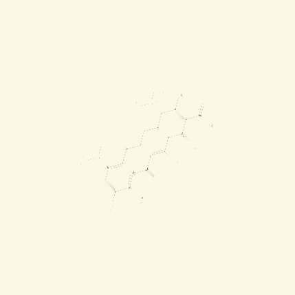 CC(C)c1cc(N(C)C)c2c(c1O)C(=O)C1=C(O)C3C(=O)C(C(N)=O)=C(O)[C@@H](N(C)C)C3CC1C2